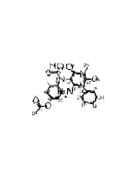 CC(=O)Oc1ccc(N(C(=O)O)c2c(N)n(-c3ccccc3)c(=O)n(C)c2=O)cc1